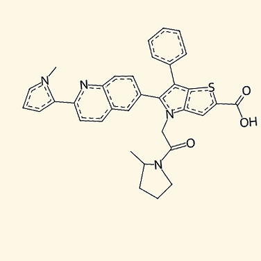 CC1CCCN1C(=O)Cn1c(-c2ccc3nc(-c4cccn4C)ccc3c2)c(-c2ccccc2)c2sc(C(=O)O)cc21